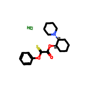 Cl.O=C(O[C@@H]1CCCC[C@H]1N1CCCCC1)C(=S)Oc1ccccc1